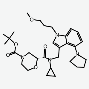 COCCCn1cc(CN(C(=O)[C@H]2CN(C(=O)OC(C)(C)C)CCO2)C2CC2)c2c(N3CCCC3)cccc21